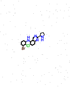 Clc1c(Br)cccc1Nc1cccc2nc(C3CCCN3)ncc12